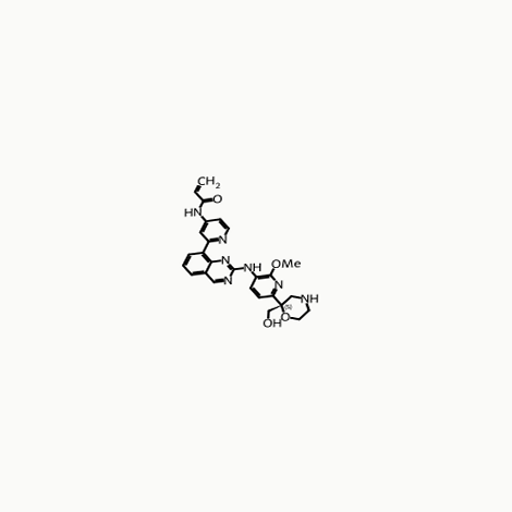 C=CC(=O)Nc1ccnc(-c2cccc3cnc(Nc4ccc([C@]5(CO)CNCCO5)nc4OC)nc23)c1